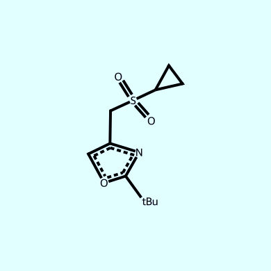 CC(C)(C)c1nc(CS(=O)(=O)C2CC2)co1